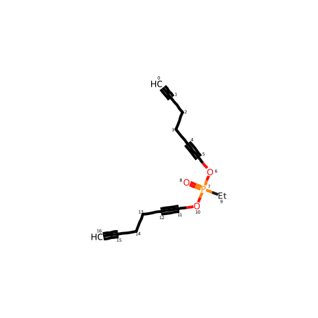 C#CCCC#COP(=O)(CC)OC#CCCC#C